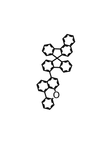 c1ccc2c(c1)Oc1ccc(-c3cccc4c3-c3ccccc3C43c4ccccc4-c4c3ccc3ccccc43)c3cccc-2c13